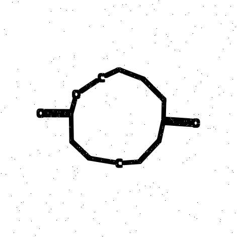 O=C1CCCCCC(=O)OCCCC1